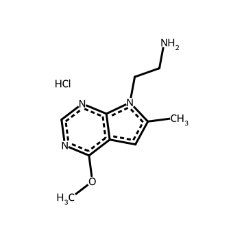 COc1ncnc2c1cc(C)n2CCN.Cl